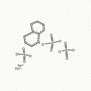 O=S(=O)([O-])[O-].O=S(=O)([O-])[O-].O=S(=O)([O-])[O-].[Fe+3].[Fe+3].c1ccc2ncccc2c1